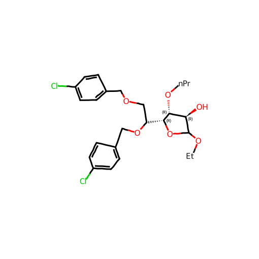 CCCO[C@H]1[C@@H](C(COCc2ccc(Cl)cc2)OCc2ccc(Cl)cc2)OC(OCC)[C@@H]1O